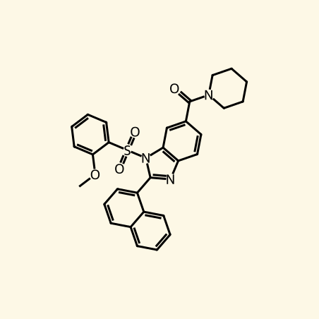 COc1ccccc1S(=O)(=O)n1c(-c2cccc3ccccc23)nc2ccc(C(=O)N3CCCCC3)cc21